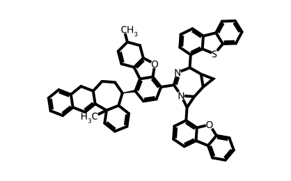 CC1C=Cc2c(oc3c(C4=NC(c5cccc6c5sc5ccccc56)C5CC5C5C(c6cccc7c6oc6ccccc67)N45)ccc([C@@H]4CCC5Cc6ccccc6C=C5C5(C)C=CC=CC45)c23)C1